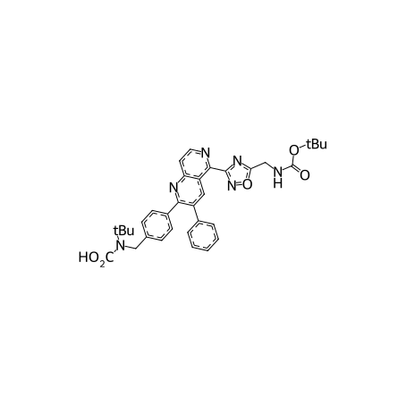 CC(C)(C)OC(=O)NCc1nc(-c2nccc3nc(-c4ccc(CN(C(=O)O)C(C)(C)C)cc4)c(-c4ccccc4)cc23)no1